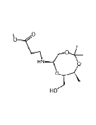 COC(=O)CCN[C@H]1COC(C)(C)O[C@@H](C)[C@@H](CO)O1